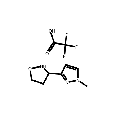 Cn1ccc(C2CCON2)n1.O=C(O)C(F)(F)F